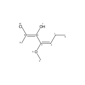 CC/C=C(OC)\C(O)=C(/C)Cl